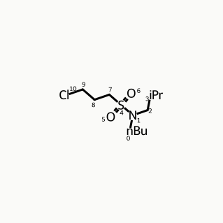 CCCCN(CC(C)C)S(=O)(=O)CCCCl